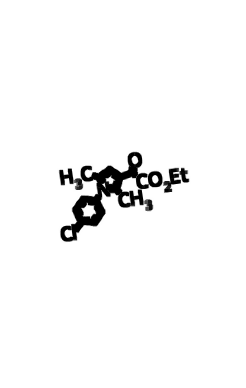 CCOC(=O)C(=O)c1cc(C)n(-c2ccc(Cl)cc2)c1C